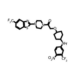 O=C(COC1CCC(Nc2ccc([N+](=O)[O-])c(C(F)(F)F)c2)CC1)N1CCN(c2nc3cc(C(F)(F)F)ccc3s2)CC1